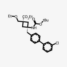 CCOC[C@]1(C(=O)OCC)C[C@](Cc2ccc(-c3cccc(Cl)c3)cc2)(NC(=O)OC(C)(C)C)C1